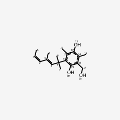 C/C=C\C(C)=C\C(C)(C)c1c(C)c(O)c(C)c(CO)c1O